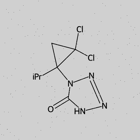 CC(C)C1(n2nn[nH]c2=O)CC1(Cl)Cl